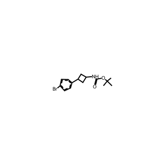 CC(C)(C)OC(=O)NC1CC(c2ccc(Br)cc2)C1